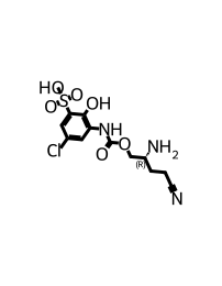 N#CCC[C@@H](N)COC(=O)Nc1cc(Cl)cc(S(=O)(=O)O)c1O